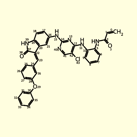 C=CC(=O)Nc1ccccc1Nc1nc(Nc2ccc3c(c2)C(=Cc2cccc(Oc4ccccc4)c2)C(=O)N3)ncc1Cl